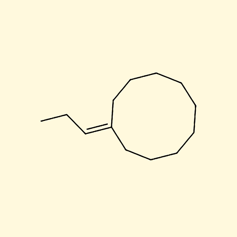 CCC=C1CCCCCCCCC1